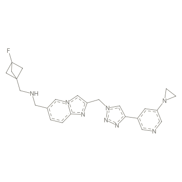 FC12CC(CNCc3ccc4nc(Cn5cc(-c6cncc(N7CC7)c6)nn5)cn4c3)(C1)C2